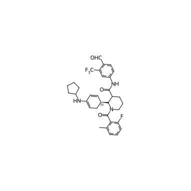 Cc1cccc(F)c1C(=O)N1CCCC(C(=O)Nc2ccc(C=O)c(C(F)(F)F)c2)C1[C@@H]1C=CC(NC2CCCC2)=CC1